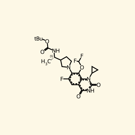 C[C@H](NC(=O)OC(C)(C)C)C1CCN(c2c(F)cc3c(=O)[nH]c(=O)n(C4CC4)c3c2OC(F)F)C1